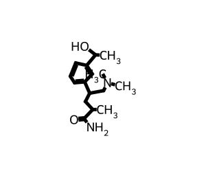 CC(CC(CN(C)C)c1cccc(C(C)O)c1)C(N)=O